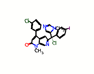 Cn1cncc1[C@@](Cl)(c1ccc(I)cc1)c1cc2c(-c3cccc(Cl)c3)cc(=O)n(C)c2cn1